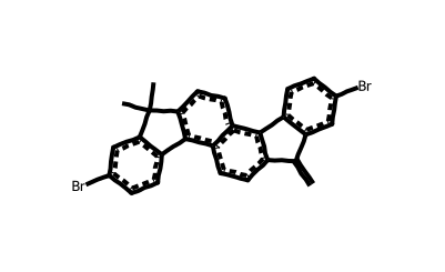 C=C1c2cc(Br)ccc2-c2c1ccc1c3c(ccc21)C(C)(C)c1cc(Br)ccc1-3